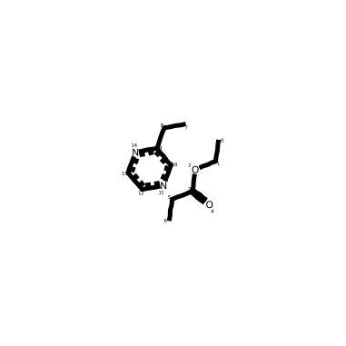 CCOC(=O)CC.CCc1cnccn1